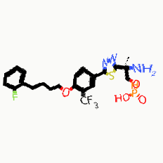 C[C@](N)(CO[PH](=O)O)c1nnc(-c2ccc(OCCCCc3ccccc3F)c(C(F)(F)F)c2)s1